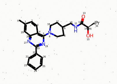 Cc1ccc2c(N3CCC(CNC(=O)[C@H](O)C(C)C)CC3)nc(-c3ccccc3)nc2c1